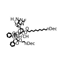 C#C[C@]1(CO[P@@](=O)(N[C@@H](Cc2ccccc2)C(=O)OCCCCCCCCCCCC)Oc2ccccc2)O[C@@H](n2cnc3c(N)nc(F)nc32)C[C@@H]1OC(=O)CCCCCCCCCCCCCCCCCCC